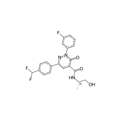 C[C@@H](CO)NC(=O)c1cc(-c2ccc(C(F)F)cc2)nn(-c2cccc(F)c2)c1=O